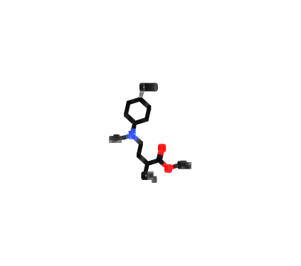 CCCN(CCC(C)C(=O)OC(C)(C)C)[C@H]1CC[C@H](C=O)CC1